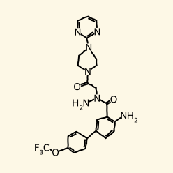 Nc1ccc(-c2ccc(OC(F)(F)F)cc2)cc1C(=O)N(N)CC(=O)N1CCN(c2ncccn2)CC1